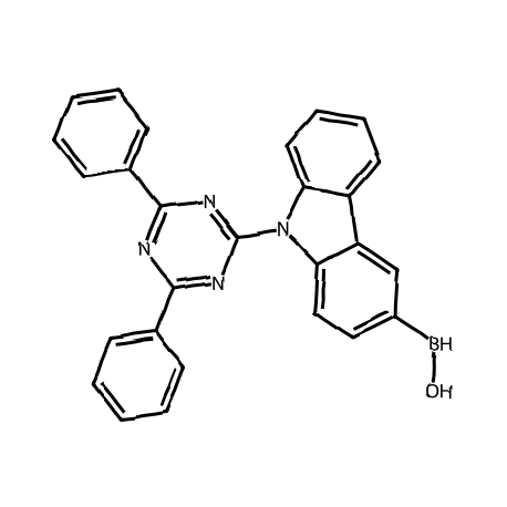 OBc1ccc2c(c1)c1ccccc1n2-c1nc(-c2ccccc2)nc(-c2ccccc2)n1